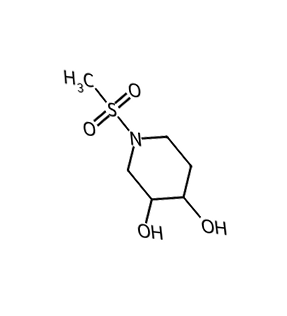 CS(=O)(=O)N1CCC(O)C(O)C1